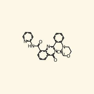 Cn1c(-c2ccccc2N2CCOCC2)nc2c(C(=O)Nc3ccccn3)cccc2c1=O